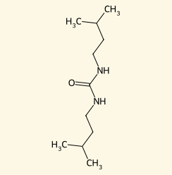 CC(C)CCNC(=O)NCCC(C)C